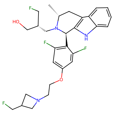 C[C@@H]1Cc2c([nH]c3ccccc23)[C@@H](c2c(F)cc(OCCN3CC(CF)C3)cc2F)N1C[C@H](CO)CF